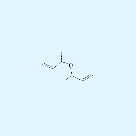 [CH]=CC(C)OC(C)C=[CH]